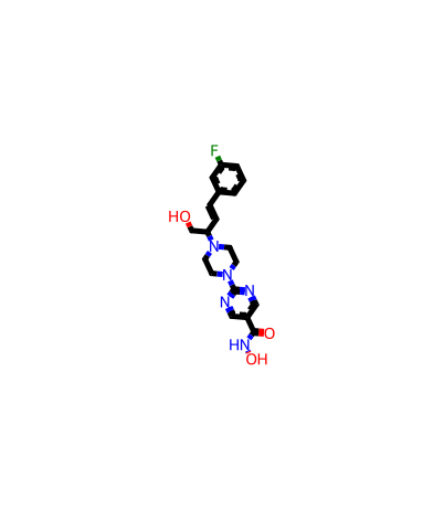 O=C(NO)c1cnc(N2CCN(C(/C=C/c3cccc(F)c3)CO)CC2)nc1